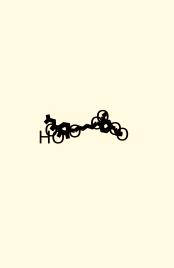 COc1cc(OC=O)ccc1OCCCCOc1ccc(C(=O)CC(C)C)c(O)c1C